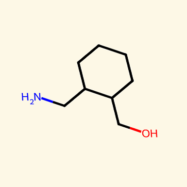 NCC1CCCCC1CO